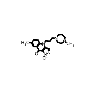 Cc1ccc2c(c1)c(=O)c1c(cnn1C)n2CCCN1CCCN(C)CC1